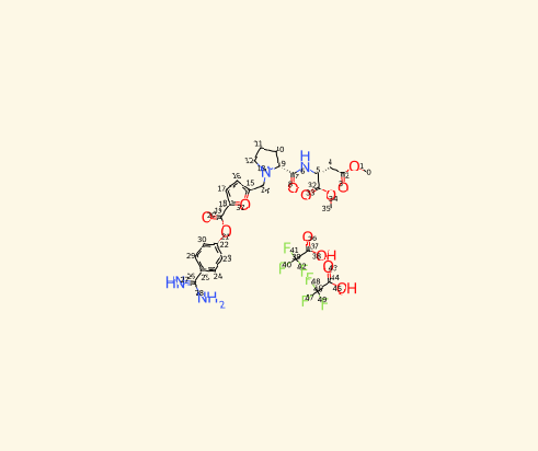 COC(=O)C[C@@H](NC(=O)[C@H]1CCCN1Cc1ccc(C(=O)Oc2ccc(C(=N)N)cc2)o1)C(=O)OC.O=C(O)C(F)(F)F.O=C(O)C(F)(F)F